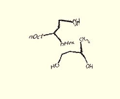 CC(O)CO.CCCCCCCCC(CO)CCCCCC